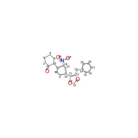 O=C1CCCCC1c1ccc(C2=C(Cc3ccccc3)OCO2)cc1[N+](=O)[O-]